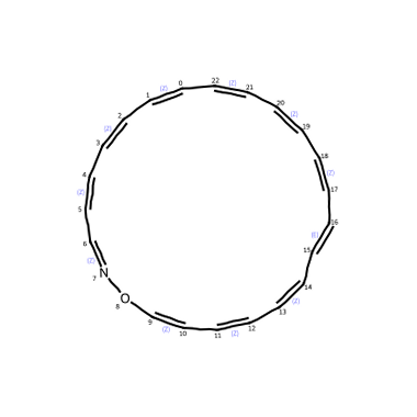 C1=C\C=C/C=C\C=N/O/C=C\C=C/C=C\C=C\C=C/C=C\C=C/1